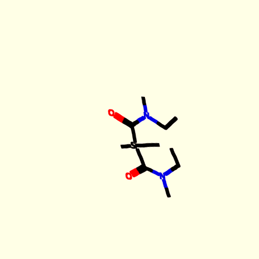 CCN(C)C(=O)[Si](C)(C)C(=O)N(C)CC